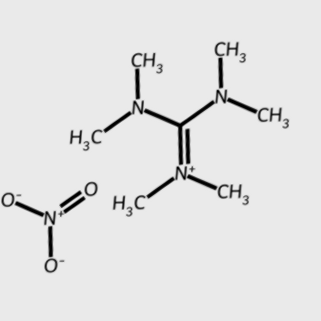 CN(C)C(N(C)C)=[N+](C)C.O=[N+]([O-])[O-]